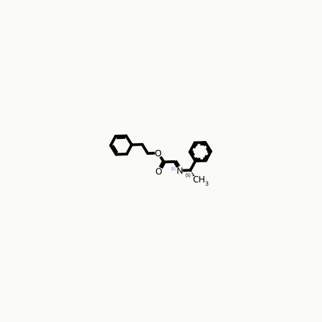 C[C@H](/N=C/C(=O)OCCC1C=CC=CC1)c1ccccc1